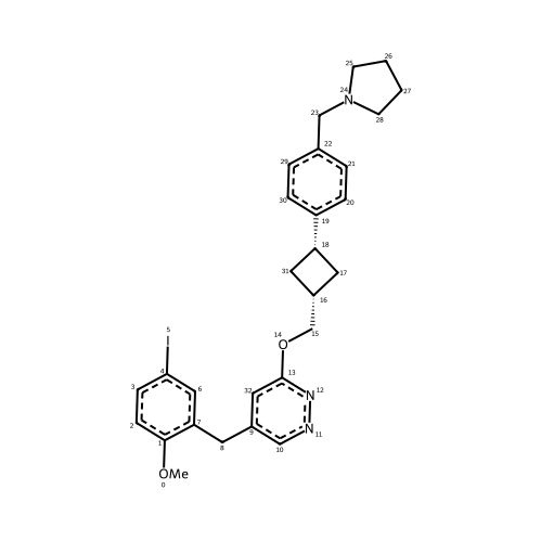 COc1ccc(I)cc1Cc1cnnc(OC[C@H]2C[C@@H](c3ccc(CN4CCCC4)cc3)C2)c1